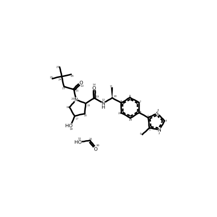 Cc1ncsc1-c1ccc([C@H](C)NC(=O)C2CC(O)CN2C(=O)CC(C)(C)C)cc1.O=CO